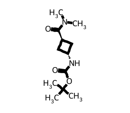 CN(C)C(=O)[C@H]1C[C@H](NC(=O)OC(C)(C)C)C1